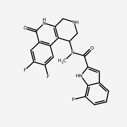 CN(C(=O)c1cc2cccc(F)c2[nH]1)C1CNCc2[nH]c(=O)c3cc(F)c(F)cc3c21